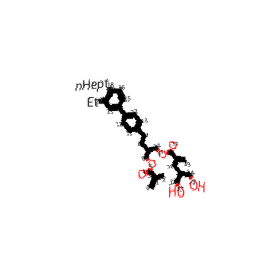 C=C(C)C(=O)OCC(CCc1ccc(-c2ccc(CCCCCCC)c(CC)c2)cc1)COC(=O)C(=C)CC(CO)CO